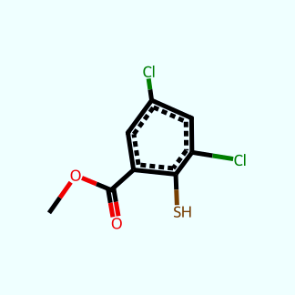 COC(=O)c1cc(Cl)cc(Cl)c1S